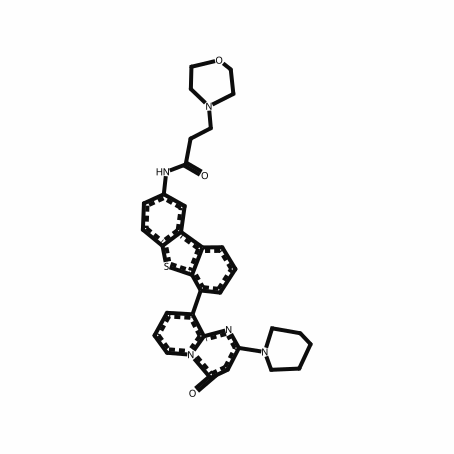 O=C(CCN1CCOCC1)Nc1ccc2sc3c(-c4cccn5c(=O)cc(N6CCCCC6)nc45)cccc3c2c1